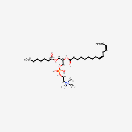 CCCCC/C=C\C/C=C\CCCCCCCC(=O)O[C@H](CO[14C](=O)CCCCCCCCCCCCCCC)COP(=O)([O-])OCC[N+](C)(C)C